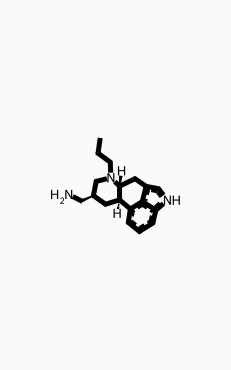 CCCN1C[C@H](CN)C[C@@H]2c3cccc4[nH]cc(c34)C[C@H]21